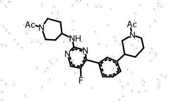 CC(=O)N1CCC(Nc2ncc(F)c(-c3cccc(C4CCCN(C(C)=O)C4)c3)n2)CC1